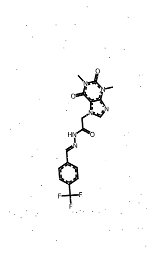 Cn1c(=O)c2c(ncn2CC(=O)N/N=C/c2ccc(C(F)(F)F)cc2)n(C)c1=O